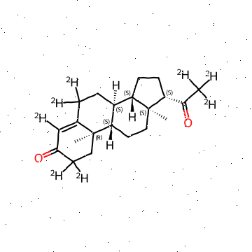 [2H]C1=C2C([2H])([2H])C[C@H]3[C@@H]4CC[C@H](C(=O)C([2H])([2H])[2H])[C@@]4(C)CC[C@@H]3[C@@]2(C)CC([2H])([2H])C1=O